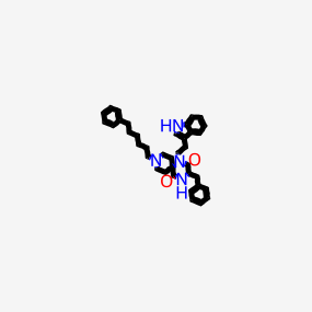 O=C1C(Cc2ccccc2)NC(=O)C2(CCN(CCCCCCc3ccccc3)CC2)N1CCc1c[nH]c2ccccc12